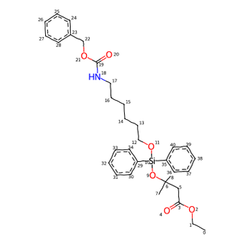 CCOC(=O)CC(C)(C)O[Si](OCCCCCCNC(=O)OCc1ccccc1)(c1ccccc1)c1ccccc1